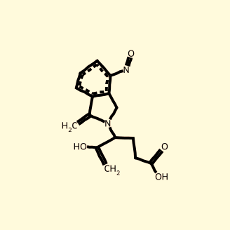 C=C(O)C(CCC(=O)O)N1Cc2c(N=O)cccc2C1=C